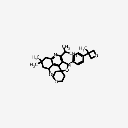 CC(C)c1nc2c(c3c1[C@@H](c1ccc(C4(C)COC4)cc1)OC31CCOCC1)C(O)CC(C)(C)C2